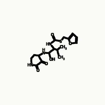 CC(C)C(NC(=O)SCc1ccco1)C(O)NC1CCNC(=O)C1=O